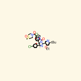 C=S1(=O)CCN(C(=O)C2CCN(C(=O)N3C(c4cnc(C(C)(C)C)cc4OCC)=N[C@@](C)(c4ccc(Cl)cc4)[C@@]3(C)c3ccc(Cl)cc3)CC2)CC1